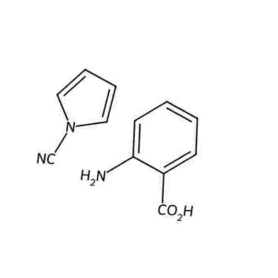 N#Cn1cccc1.Nc1ccccc1C(=O)O